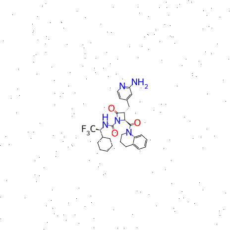 Nc1cc(C[C@H]2C(=O)N(C(=O)N[C@@H](C3CCCCC3)C(F)(F)F)[C@@H]2C(=O)N2CCCc3ccccc32)ccn1